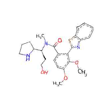 COc1ccc(C(=O)N(C)[C@@H](CCO)C2CCCN2)c(-c2nc3ccccc3s2)c1OC